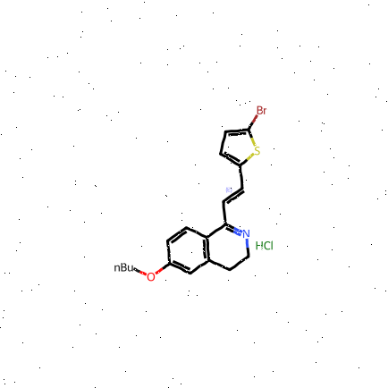 CCCCOc1ccc2c(c1)CCN=C2/C=C/c1ccc(Br)s1.Cl